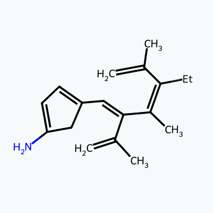 C=C(C)/C(CC)=C(C)\C(=C\C1=CC=C(N)C1)C(=C)C